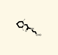 C[C@@H]1CCC[C@H](C)N1CC(=O)NCCC=O